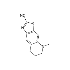 CN1CCCc2cc3nc(C#N)sc3cc21